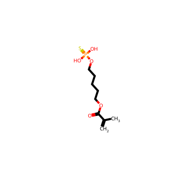 C=C(C)C(=O)OCCCCCOP(O)(O)=S